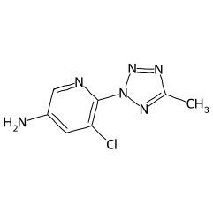 Cc1nnn(-c2ncc(N)cc2Cl)n1